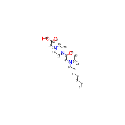 CCCCCCCN(CC(=O)N1CCN(CC(=O)O)CC1)C(C)C